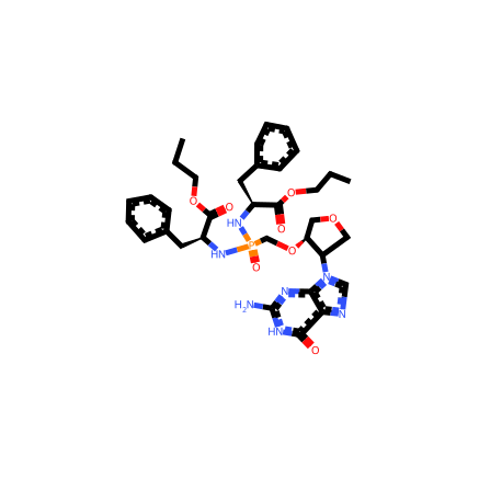 CCCOC(=O)[C@H](Cc1ccccc1)NP(=O)(CO[C@H]1COCC1n1cnc2c(=O)[nH]c(N)nc21)N[C@@H](Cc1ccccc1)C(=O)OCCC